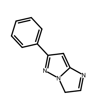 C1=Nc2cc(-c3ccccc3)nn2C1